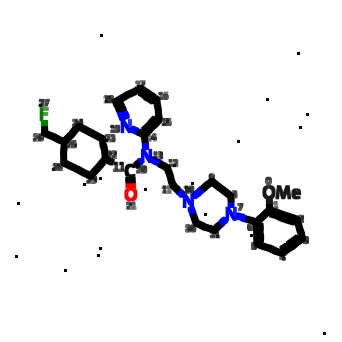 COc1ccccc1N1CCN(CCN(c2ccccn2)[11C](=O)C2CCC(CF)CC2)CC1